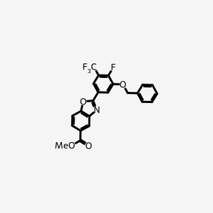 COC(=O)c1ccc2oc(-c3cc(OCc4ccccc4)c(F)c(C(F)(F)F)c3)nc2c1